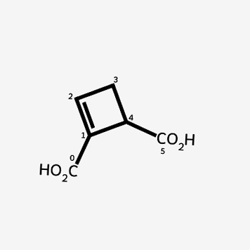 O=C(O)C1=CCC1C(=O)O